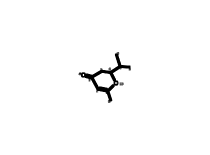 CC1=CC(=O)CC(C(C)C)O1